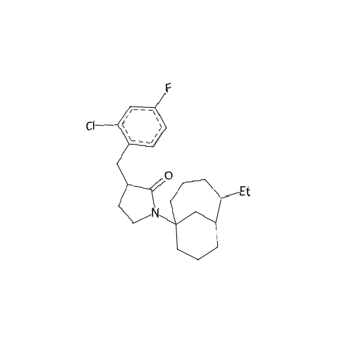 CCC1CCCC2(N3CCC(Cc4ccc(F)cc4Cl)C3=O)CCCC1C2